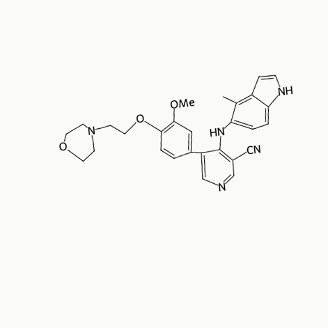 COc1cc(-c2cncc(C#N)c2Nc2ccc3[nH]ccc3c2C)ccc1OCCN1CCOCC1